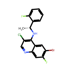 C[C@@H](Nc1c(Cl)cnc2cc(F)c(Br)cc12)c1ccccc1F